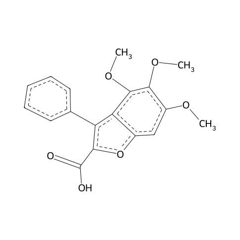 COc1cc2oc(C(=O)O)c(-c3ccccc3)c2c(OC)c1OC